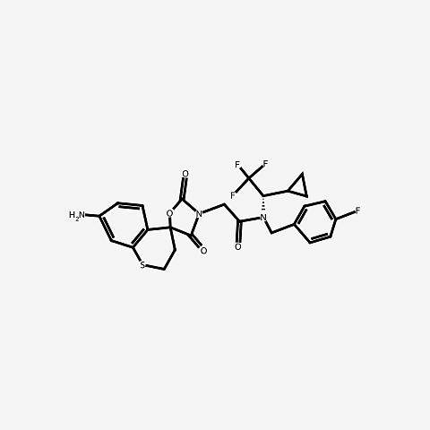 Nc1ccc2c(c1)SCCC21OC(=O)N(CC(=O)N(Cc2ccc(F)cc2)[C@@H](C2CC2)C(F)(F)F)C1=O